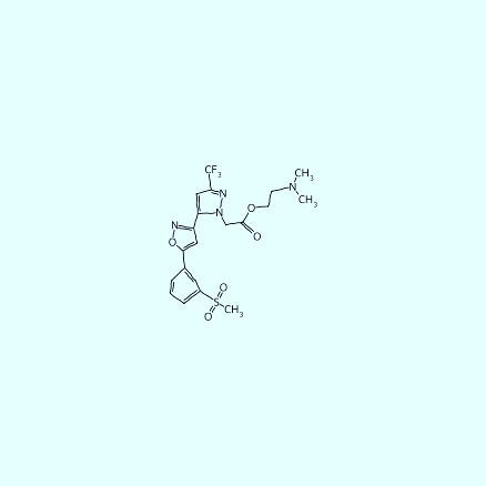 CN(C)CCOC(=O)Cn1nc(C(F)(F)F)cc1-c1cc(-c2cccc(S(C)(=O)=O)c2)on1